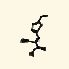 CCc1ccc(/C=C(\C#N)C(=O)O)s1